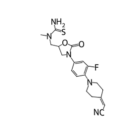 CN(CC1CN(c2ccc(N3CCC(=CC#N)CC3)c(F)c2)C(=O)O1)C(N)=S